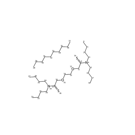 CCCCN(CCCC)C(=S)COCCOCC(=S)N(CCCC)CCCC.C[CH]CCCCCCCC